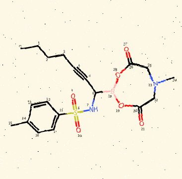 CCCCC#CC(NS(=O)(=O)c1ccc(C)cc1)B1OC(=O)CN(C)CC(=O)O1